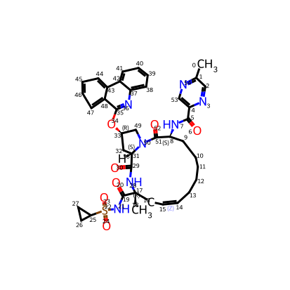 Cc1cnc(C(=O)N[C@H]2CCCCC/C=C\C[C@](C)(C(=O)NS(=O)(=O)C3CC3)NC(=O)[C@@H]3C[C@@H](Oc4nc5ccccc5c5ccccc45)CN3C2=O)cn1